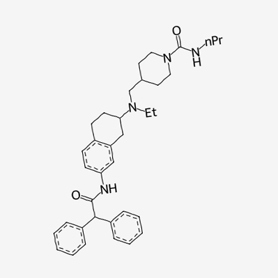 CCCNC(=O)N1CCC(CN(CC)C2CCc3ccc(NC(=O)C(c4ccccc4)c4ccccc4)cc3C2)CC1